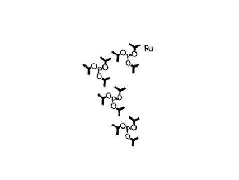 CC(C)OP(OC(C)C)OC(C)C.CC(C)OP(OC(C)C)OC(C)C.CC(C)OP(OC(C)C)OC(C)C.CC(C)OP(OC(C)C)OC(C)C.[Ru]